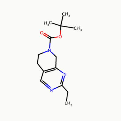 CCc1ncc2c(n1)CN(C(=O)OC(C)(C)C)CC2